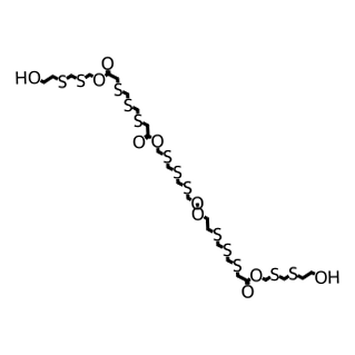 O=C(CSCSCSCCOOCSCSCSCOC(=O)CSCSCSCC(=O)OCSCSCCO)OCSCSCCO